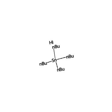 CCC[CH2][Sn]([CH2]CCC)([CH2]CCC)[CH2]CCC.I